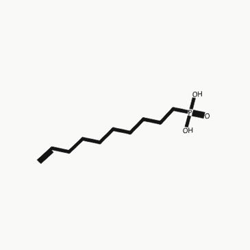 C=CCCCCCCCCP(=O)(O)O